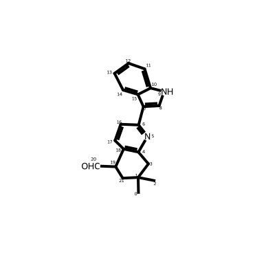 CC1(C)Cc2nc(-c3c[nH]c4ccccc34)ccc2C(C=O)C1